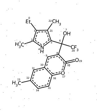 CCc1c(C)[nH]c(C(O)(c2cc3cc(C)ccc3oc2=O)C(F)(F)F)c1C